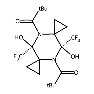 CC(C)(C)C(=O)N1C2(CC2)[C@](O)(C(F)(F)F)N(C(=O)C(C)(C)C)C2(CC2)[C@]1(O)C(F)(F)F